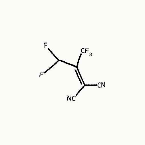 N#CC(C#N)=C(C(F)F)C(F)(F)F